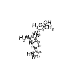 CC(C)(O)CCn1cc2c(N)nc3cc(-c4ccn[nH]4)ccc3c2n1